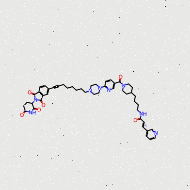 O=C(/C=C/c1cccnc1)NCCCCC1CCN(C(=O)c2ccc(N3CCN(CCCCCCC#Cc4ccc5c(c4)C(=O)N(C4CCC(=O)NC4=O)C5=O)CC3)nc2)CC1